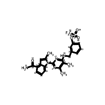 Cc1nc(-n2c(C)cc3c(C(N)=O)cccc32)nc(NCc2cccc(OS(=O)(=O)C(F)(F)F)c2)c1C